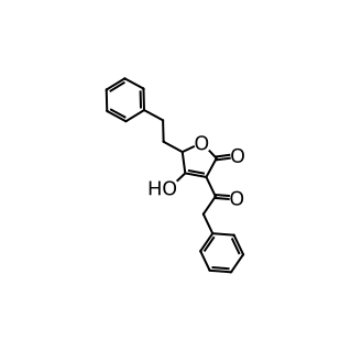 O=C(Cc1ccccc1)C1=C(O)C(CCc2ccccc2)OC1=O